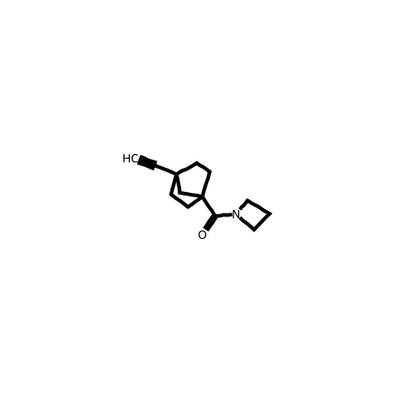 C#CC12CCC(C(=O)N3CCC3)(CC1)C2